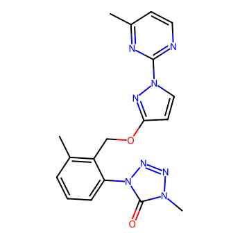 Cc1ccnc(-n2ccc(OCc3c(C)cccc3-n3nnn(C)c3=O)n2)n1